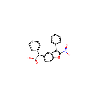 O=C(O)C(c1ccccc1)c1ccc2oc([N+](=O)[O-])c(-c3ccccc3)c2c1